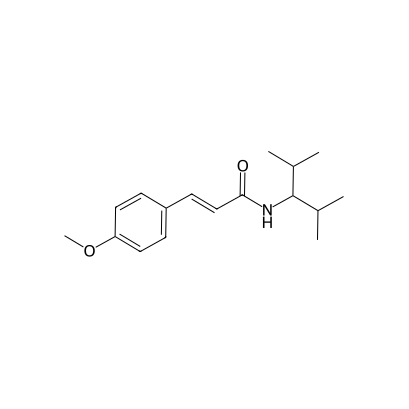 COc1ccc(/C=C/C(=O)NC(C(C)C)C(C)C)cc1